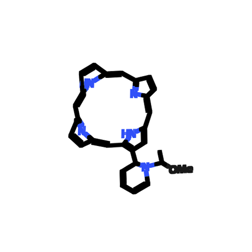 COC(C)N1C=CC=CC1c1cc2cc3nc(cc4ccc(cc5nc(cc1[nH]2)C=C5)[nH]4)C=C3